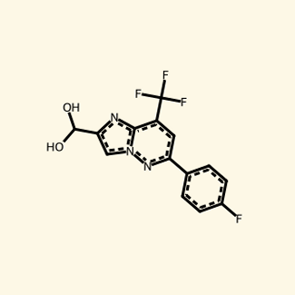 OC(O)c1cn2nc(-c3ccc(F)cc3)cc(C(F)(F)F)c2n1